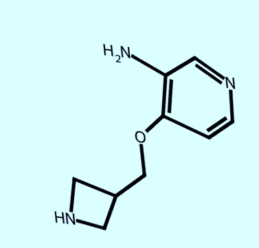 Nc1cnccc1OCC1CNC1